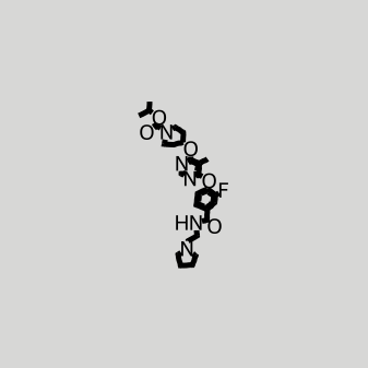 Cc1c(Oc2ccc(C(=O)NCCN3CCCC3)cc2F)ncnc1OC1CCN(C(=O)OC(C)C)CC1